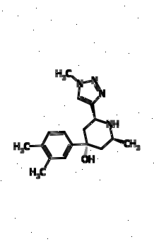 Cc1ccc([C@@]2(O)C[C@@H](c3cn(C)nn3)N[C@@H](C)C2)cc1C